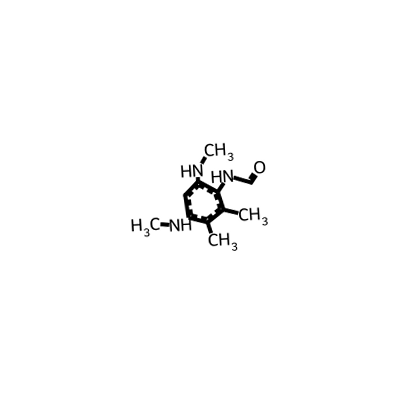 CNc1cc(NC)c(NC=O)c(C)c1C